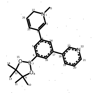 CN1C=C(c2cc(B3OC(C)(C)C(C)(C)O3)cc(-c3cccnc3)c2)C=CC1